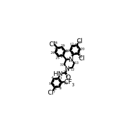 O=C(Nc1ccc(Cl)cc1C(F)(F)F)N1CCN(c2ccc(Cl)cc2Cl)C(c2ccc(Cl)cc2)C1